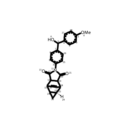 COc1ccc(C(O)c2ccc(N3C(=O)C4C5C=CC(C4C3=O)[C@H]3CC53)cc2)cc1